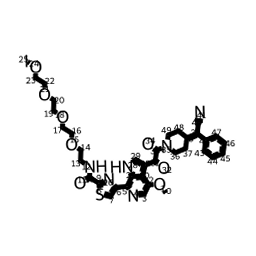 COc1cnc(-c2csc(C(=O)NCCOCCOCCOCCOI)n2)c2[nH]cc(C(=O)C(=O)N3CCC(=C(C#N)c4ccccc4)CC3)c12